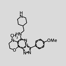 COc1ccc(-c2nnc3c4c(c(NCC5CCNCC5)nn23)N(C)CCO4)cc1